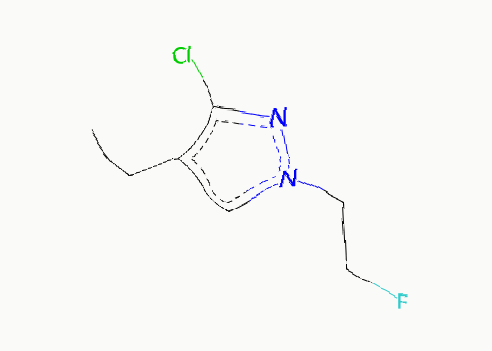 CCc1cn(CCF)nc1Cl